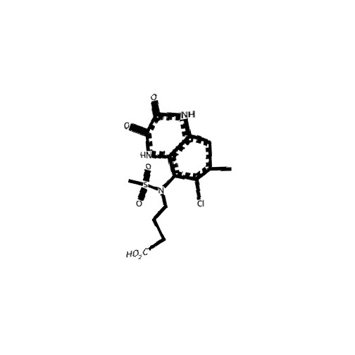 Cc1cc2[nH]c(=O)c(=O)[nH]c2c(N(CCCC(=O)O)S(C)(=O)=O)c1Cl